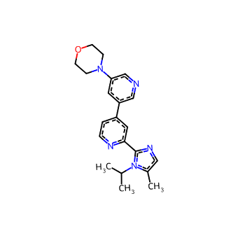 Cc1cnc(-c2cc(-c3cncc(N4CCOCC4)c3)ccn2)n1C(C)C